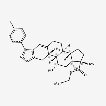 COCSC(=O)[C@@]1(OC(C)=O)CC[C@H]2[C@@H]3CCC4=Cc5c(cnn5-c5ccc(F)nc5)C[C@@]4(C)[C@H]3[C@@H](O)C[C@@]21C